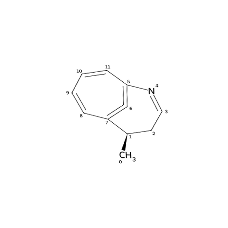 C[C@@H]1CC=NC2=C=C1C=CC=C2